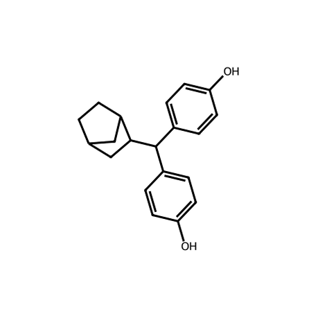 Oc1ccc(C(c2ccc(O)cc2)C2CC3CCC2C3)cc1